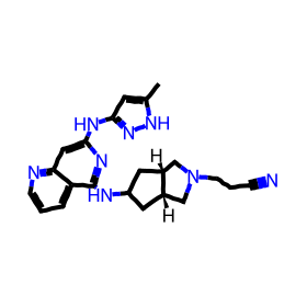 Cc1cc(Nc2cc3ncccc3c(NC3C[C@@H]4CN(CCC#N)C[C@@H]4C3)n2)n[nH]1